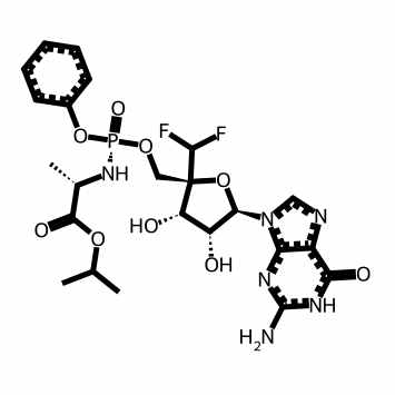 CC(C)OC(=O)[C@H](C)N[P@](=O)(OC[C@@]1(C(F)F)O[C@@H](n2cnc3c(=O)[nH]c(N)nc32)[C@H](O)[C@@H]1O)Oc1ccccc1